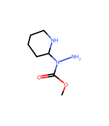 COC(=O)N(N)C1CCCCN1